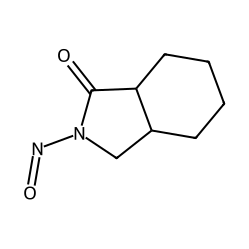 O=NN1CC2CCCCC2C1=O